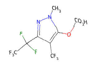 Cn1nc(C(F)(F)C(F)(F)F)c(C(F)(F)F)c1OC(=O)O